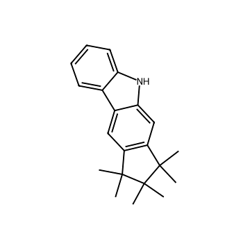 CC1(C)c2cc3[nH]c4ccccc4c3cc2C(C)(C)C1(C)C